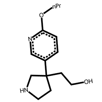 CCCOc1ccc(C2(CCO)CCNC2)cn1